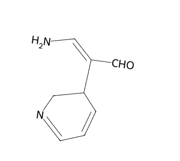 N/C=C(/C=O)C1C=CC=NC1